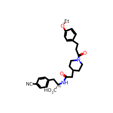 CCOc1ccc(CCC(=O)N2CCC(CC(=O)N[C@@H](Cc3ccc(C#N)cc3)C(=O)O)CC2)cc1